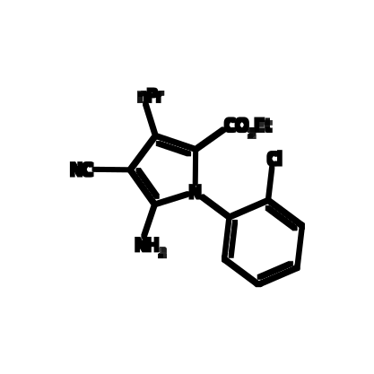 CCCc1c(C#N)c(N)n(-c2ccccc2Cl)c1C(=O)OCC